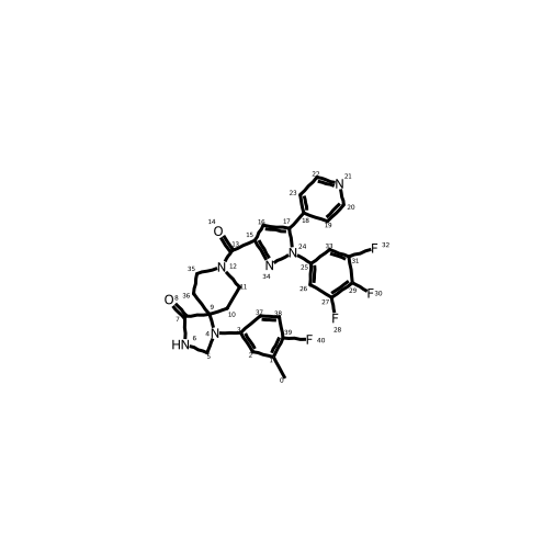 Cc1cc(N2CNC(=O)C23CCN(C(=O)c2cc(-c4ccncc4)n(-c4cc(F)c(F)c(F)c4)n2)CC3)ccc1F